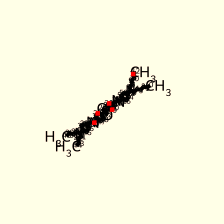 CCCCCCN(CCCCCC)c1ccc(N=Nc2ccc(S(=O)(=O)c3ccc(N=Nc4ccc(N(CCCC)CCCC)cc4)cc3)cc2)cc1